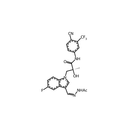 CC(=O)N/N=C\c1cn(C[C@](C)(O)C(=O)Nc2ccc(C#N)c(C(F)(F)F)c2)c2ccc(F)cc12